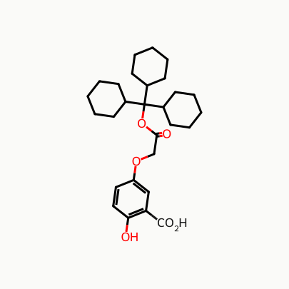 O=C(COc1ccc(O)c(C(=O)O)c1)OC(C1CCCCC1)(C1CCCCC1)C1CCCCC1